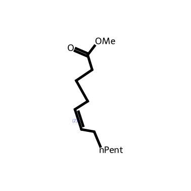 CCCCCC/C=C\CCCC(=O)OC